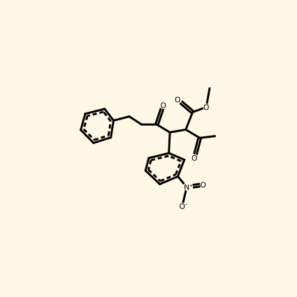 COC(=O)C(C(C)=O)C(C(=O)CCc1ccccc1)c1cccc([N+](=O)[O-])c1